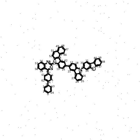 c1ccc(-c2ccc(-c3nc(-n4c5ccc(-c6ccc7c(c6)c6ccccc6n7-c6ccc7c(c6)oc6ccccc67)cc5c5c6ccccc6ccc54)nc4ccccc34)cc2)cc1